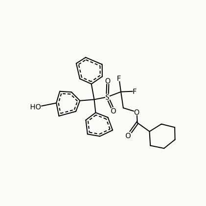 O=C(OCC(F)(F)S(=O)(=O)C(c1ccccc1)(c1ccccc1)c1ccc(O)cc1)C1CCCCC1